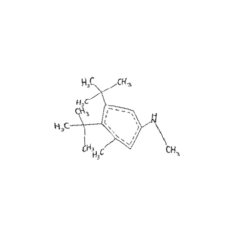 CNc1cc(C)c(C(C)(C)C)c(C(C)(C)C)c1